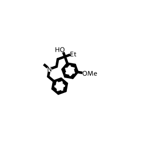 CCC(O)(CCN(C)Cc1ccccc1)c1cccc(OC)c1